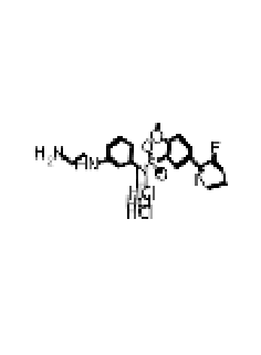 COc1ccc(-c2ncccc2F)cc1S(=O)(=O)Nc1cccc(NCCN)c1.Cl.Cl.Cl